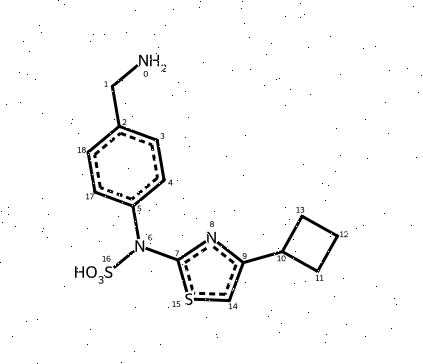 NCc1ccc(N(c2nc(C3CCC3)cs2)S(=O)(=O)O)cc1